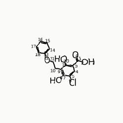 O=C(O)c1cc(Cl)c(O)c(CCOc2ccccc2)c1O